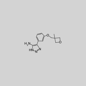 CC1(COc2cccc(-c3nn[nH]c3N)c2)COC1